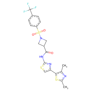 Cc1nc(C)c(-c2csc(NC(=O)C3CN(S(=O)(=O)c4ccc(C(F)(F)F)cc4)C3)n2)s1